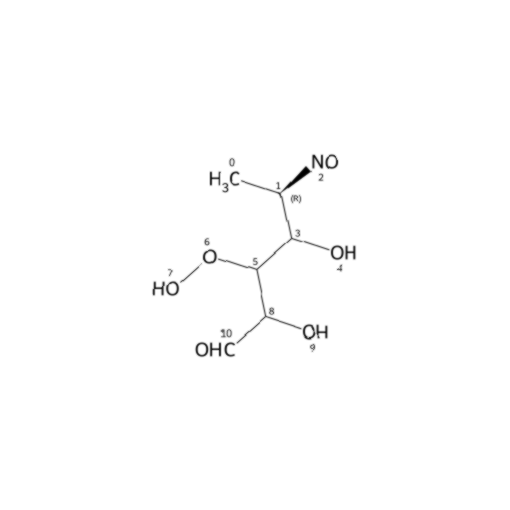 C[C@@H](N=O)C(O)C(OO)C(O)C=O